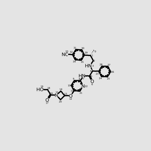 C[C@H](CN[C@H](C(=O)Nc1ccc(OC2CN(C(=O)CO)C2)cn1)c1ccccc1)c1ccc(C#N)cc1